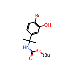 CC(C)(C)OC(=O)NC(C)(C)c1ccc(Br)c(O)c1